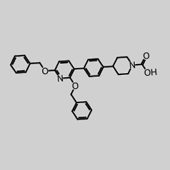 O=C(O)N1CCC(c2ccc(-c3ccc(OCc4ccccc4)nc3OCc3ccccc3)cc2)CC1